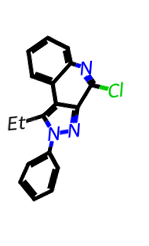 CCc1c2c(nn1-c1ccccc1)c(Cl)nc1ccccc12